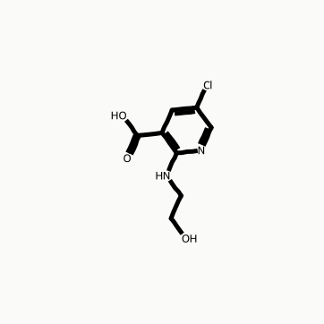 O=C(O)c1cc(Cl)cnc1NCCO